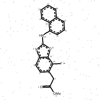 COC(=O)Cc1ccc2nc(Nc3cccc4ccccc34)oc2c1F